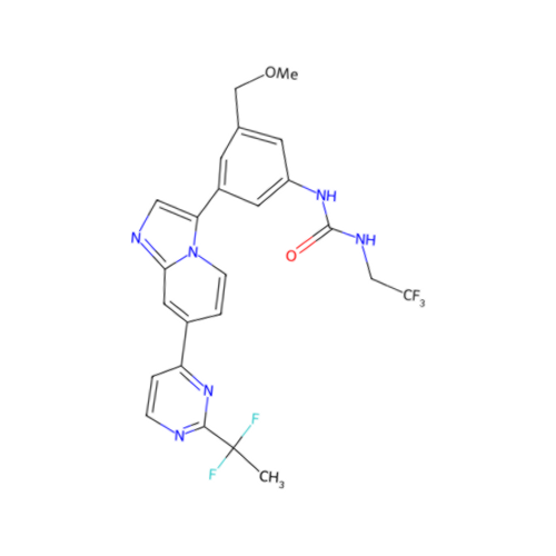 COCc1cc(NC(=O)NCC(F)(F)F)cc(-c2cnc3cc(-c4ccnc(C(C)(F)F)n4)ccn23)c1